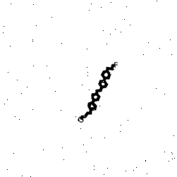 COCCCCc1ccc(C2CCC(CCC3CCC(C4CCC(CCCF)CC4)CC3)CC2)cc1